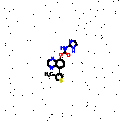 Cc1cscc1-c1ccc(OC(=O)Nc2ncc[nH]2)c2nccnc12